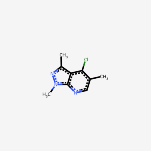 Cc1cnc2c(c(C)nn2C)c1Cl